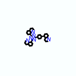 c1cnc2c(-c3nc(-c4ccc(-c5cccc6ncccc56)cc4)nc(-c4cccc5cccnc45)n3)cccc2c1